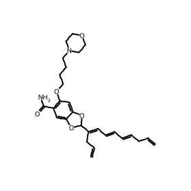 C=CCC=CC=CC=C(CC=C)C1Oc2cc(OCCCCN3CCOCC3)c(C(N)=O)cc2O1